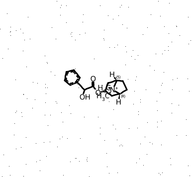 C[N+]1(C)[C@@H]2CC[C@H]1CC(OC(=O)C(O)c1ccccc1)C2